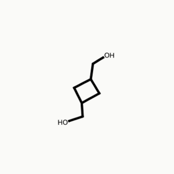 OCC1CC(CO)C1